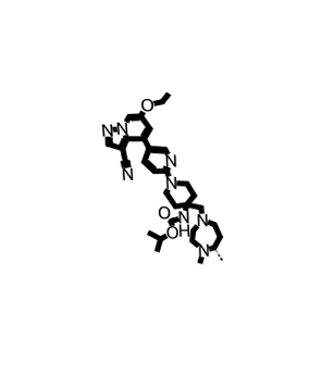 CCOc1cc(-c2ccc(N3CCC(CN4CC[C@H](C)N(C)CC4)(NC(=O)OC(C)C)CC3)nc2)c2c(C#N)cnn2c1